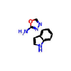 Nc1nnco1.c1ccc2[nH]ccc2c1